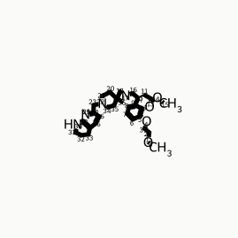 COCCOc1cccc([C@H](CC(=O)OC)CN2CC3(CCN(Cc4ccc5c(n4)NCCC5)CC3)C2)c1